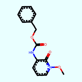 COn1cccc(NC(=O)OCc2ccccc2)c1=O